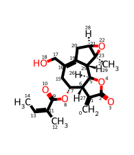 C=C1C(=O)O[C@H]2[C@H]1[C@H](OC(=O)/C(C)=C\C)CC(CO)=C1C[C@H]3O[C@@]3(C)[C@@H]12